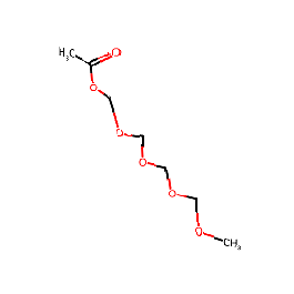 COCOCOCOCOC(C)=O